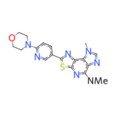 CNc1nc2sc(-c3ccc(N4CCOCC4)nc3)nc2c2c1ncn2C